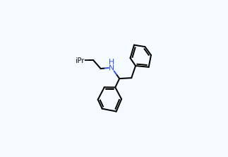 CC(C)CCNC(Cc1ccccc1)c1ccccc1